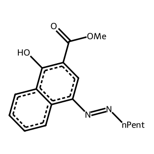 CCCCC/N=N/c1cc(C(=O)OC)c(O)c2ccccc12